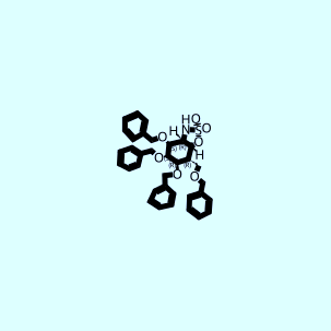 O=S1(=O)N[C@H]2[C@@H](O1)[C@H](COCc1ccccc1)[C@@H](OCc1ccccc1)[C@H](OCc1ccccc1)[C@H]2OCc1ccccc1